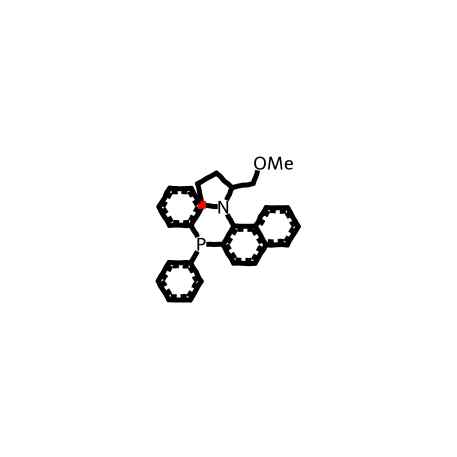 COCC1CCCN1c1c(P(c2ccccc2)c2ccccc2)ccc2ccccc12